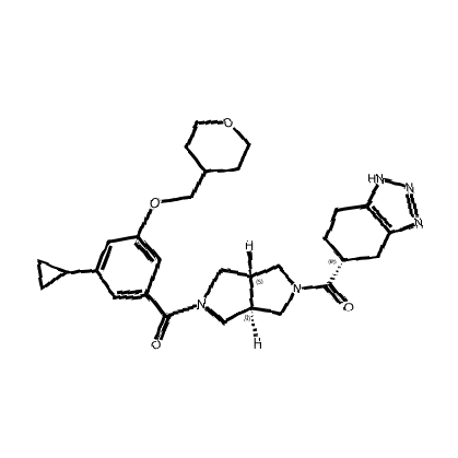 O=C(c1cc(OCC2CCOCC2)cc(C2CC2)c1)N1C[C@@H]2CN(C(=O)[C@@H]3CCc4[nH]nnc4C3)C[C@H]2C1